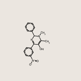 CC1=C(O)C(c2cccc([N+](=O)[O-])c2)=NC(c2ccccc2)N1C